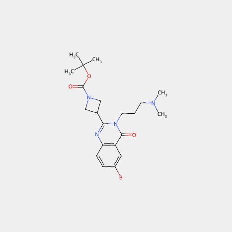 CN(C)CCCn1c(C2CN(C(=O)OC(C)(C)C)C2)nc2ccc(Br)cc2c1=O